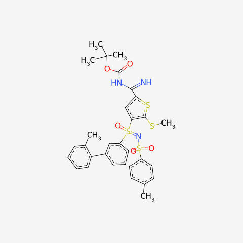 CSc1sc(C(=N)NC(=O)OC(C)(C)C)cc1S(=O)(=NS(=O)(=O)c1ccc(C)cc1)c1cccc(-c2ccccc2C)c1